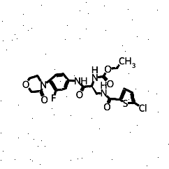 CCOC(=O)N[C@@H](CNC(=O)c1ccc(Cl)s1)C(=O)Nc1ccc(N2CCOCC2=O)c(F)c1